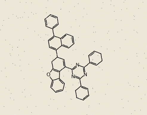 C1=CCCC(c2nc(C3=CCCC=C3)nc(C3=CC(c4ccc(-c5ccccc5)c5ccccc45)Cc4oc5ccccc5c43)n2)=C1